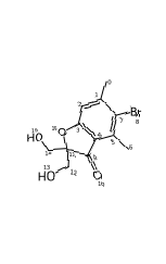 Cc1cc2c(c(C)c1Br)C(=O)C(CO)(CO)O2